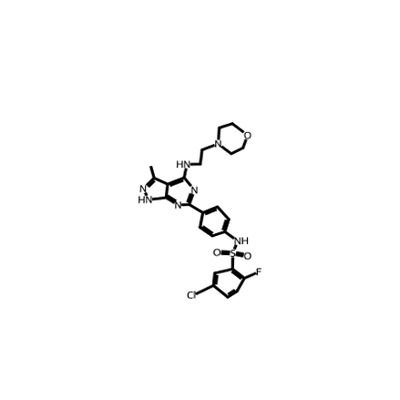 Cc1n[nH]c2nc(-c3ccc(NS(=O)(=O)c4cc(Cl)ccc4F)cc3)nc(NCCN3CCOCC3)c12